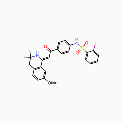 COc1ccc2c(c1)/C(=C/C(=O)c1ccc(NS(=O)(=O)c3ccccc3I)cc1)NC(C)(C)C2